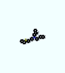 CC1(C)c2ccccc2-c2ccc(N(c3ccc(-c4ccc5c(c4)sc4c6ccccc6ccc54)cc3)c3cccc(-c4ccc5ccccc5c4)c3)cc21